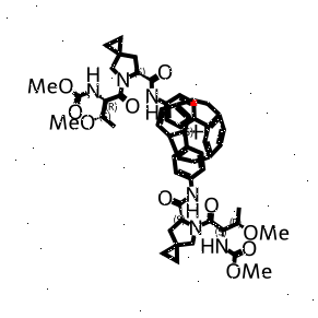 COC(=O)N[C@H](C(=O)N1CC2(CC2)C[C@H]1C(=O)Nc1ccc([C@@H]2C=C3C=CC2CCc2ccc(c(-c4ccc(NC(=O)[C@@H]5CC6(CC6)CN5C(=O)[C@H](NC(=O)OC)[C@H](C)OC)cc4)c2)CC3)cc1)[C@@H](C)OC